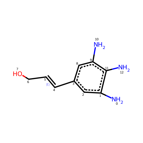 Nc1cc(/C=C/CO)cc(N)c1N